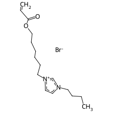 C=CC(=O)OCCCCCC[n+]1ccn(CCCC)c1.[Br-]